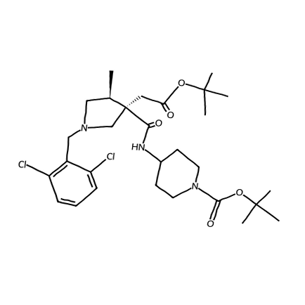 C[C@@H]1CN(Cc2c(Cl)cccc2Cl)C[C@]1(CC(=O)OC(C)(C)C)C(=O)NC1CCN(C(=O)OC(C)(C)C)CC1